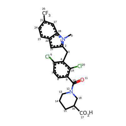 Cn1c(Cc2c(Cl)ccc(C(=O)N3CCCC(C(=O)O)C3)c2Cl)cc2ccc(C(F)(F)F)cc21